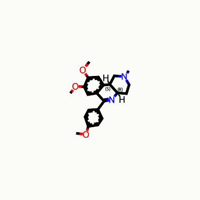 COc1ccc(C2=N[C@@H]3CCN(C)C[C@@H]3c3cc(OC)c(OC)cc32)cc1